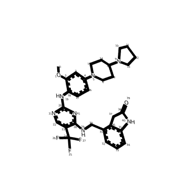 COc1cc(N2CCC(N3CCCC3)CC2)ccc1Nc1ncc(C(F)(F)F)c(NCc2cccc3c2CC(=O)N3)n1